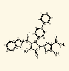 CC(=O)c1sc(N2C(=O)C(O)=C(C(=O)c3cc4ccccc4o3)C2c2ccc(-c3ccccc3)cc2)nc1C